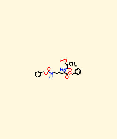 C[C@@H](CO)C(=O)N[C@@H](CCCCNC(=O)OCc1ccccc1)C(=O)OCc1ccccc1